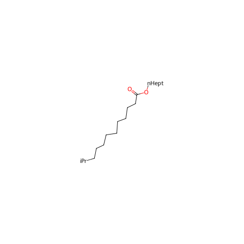 CCCCCCCOC(=O)CCCCCCCCCC(C)C